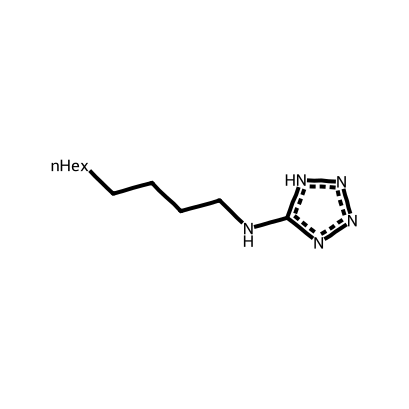 CCCCCCCCCCNc1nnn[nH]1